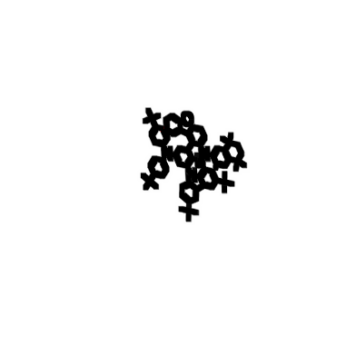 Cc1cc2c(cc1N1B3c4c(cc(N(c5ccc(C(C)(C)C)cc5)c5ccc(C(C)(C)C)cc5)cc4-n4c5ccc(C(C)(C)C)cc5c5cc(C(C)(C)C)cc3c54)-c3c1ccc1oc4ccccc4c31)C(C)(C)CCC2(C)C